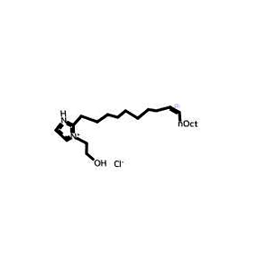 CCCCCCCC/C=C\CCCCCCCCc1[nH]cc[n+]1CCO.[Cl-]